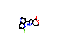 O=C1OCCc2[nH]c(-c3ccnc4ccc(F)nc34)cc21